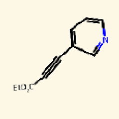 CCOC(=O)C#Cc1cccnc1